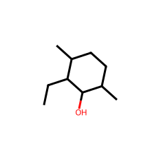 CCC1C(C)CCC(C)C1O